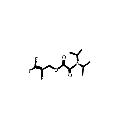 CC(C)N(C(=O)C(=O)OCC(F)=C(F)F)C(C)C